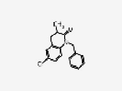 CC1Cc2cc(Cl)ccc2N(Cc2ccccc2)C1=O